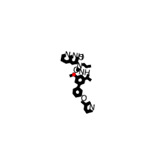 CCCN(C(=O)Nc1c(C(C)C)cc(-c2cccc(OCc3cccnc3)c2)cc1C(C)C)c1cc2cccnc2[nH]c1=O